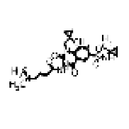 CN(C)C/C=C/C(=O)Nn1c(=O)c2cc(S(=O)(=O)NC3(C)CC3)ccc2n(CC2(C)CC2)c1=O